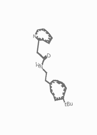 CC(C)(C)c1ccc(CCNC(=O)Cc2ccccn2)cc1